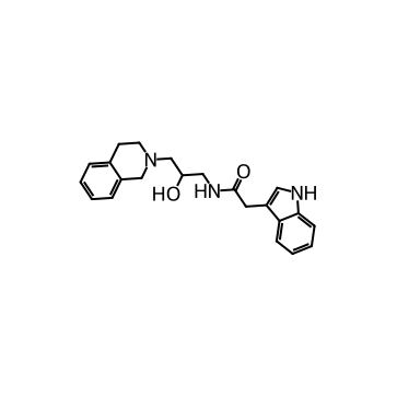 O=C(Cc1c[nH]c2ccccc12)NCC(O)CN1CCc2ccccc2C1